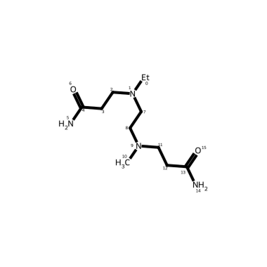 CCN(CCC(N)=O)CCN(C)CCC(N)=O